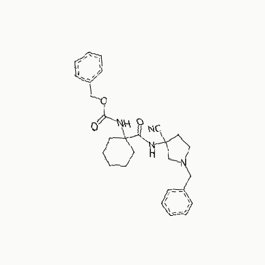 N#CC1(NC(=O)C2(NC(=O)OCc3ccccc3)CCCCC2)CCN(Cc2ccccc2)C1